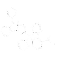 CN(C)c1cccc(S(C2=CC3C4=C(CCC=C4)N(c4ccccc4)C3(C)C=C2)(c2ccccc2)C2CC=CCC2)c1